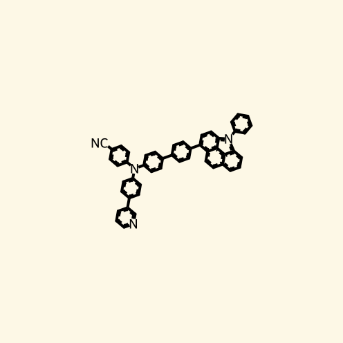 N#Cc1ccc(N(c2ccc(-c3ccc(-c4ccc5c6c4ccc4cccc(c46)n5-c4ccccc4)cc3)cc2)c2ccc(-c3cccnc3)cc2)cc1